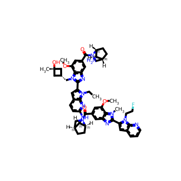 CCn1c(-c2nc3cc(C(=O)N4C[C@H]5CC[C@@H]4[C@@H]5N)cc(OC)c3n2C[C@H]2C[C@@](C)(O)C2)cc2ccc(N[C@H]3[C@H]4CC[C@@H]3N(C(=O)c3cc(OC)c5c(c3)nc(-c3cc6cccnc6n3CCF)n5C)C4)nc21